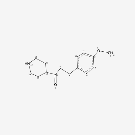 COc1ccc(CCC(=O)C2CCNCC2)cc1